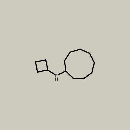 C1CCCCC(PC2CCC2)CCC1